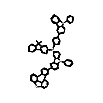 CC1(C)c2ccccc2-c2ccc(N(c3ccc(-c4ccc5c(c4)c4ccccc4n5-c4ccccc4)cc3)c3ccc4c(c3)c3cc(-c5ccc6c(c5)c5cccc7oc8cccc6c8c75)ccc3n4-c3ccccc3)cc21